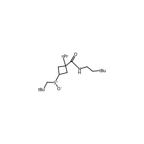 CCCC1(C(=O)NCCC(C)(C)C)CC([S+]([O-])CC(C)(C)C)C1